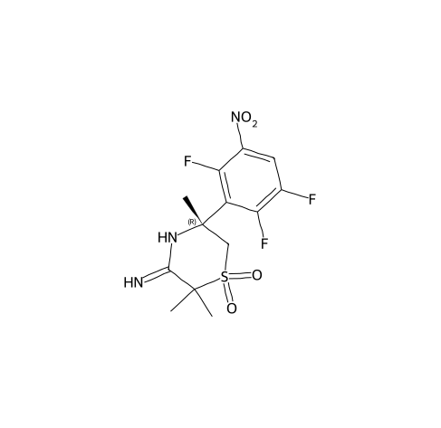 CC1(C)C(=N)N[C@](C)(c2c(F)c(F)cc([N+](=O)[O-])c2F)CS1(=O)=O